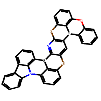 c1ccc2c(c1)Oc1cccc3c1B2c1cc2c(nc1S3)B1c3c(cccc3-n3c4ccccc4c4cccc1c43)S2